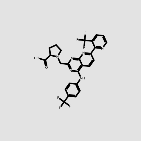 O=C(O)C1CCCN1Cc1nc(Nc2ccc(C(F)(F)F)cc2)c2ccc(-c3ncccc3C(F)(F)F)nc2n1